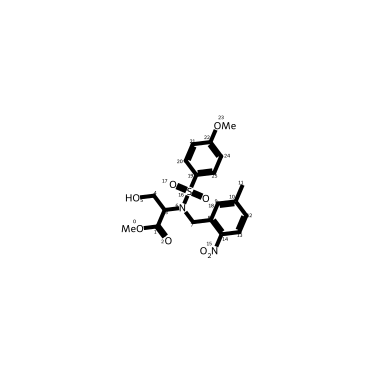 COC(=O)C(CO)N(Cc1cc(C)ccc1[N+](=O)[O-])S(=O)(=O)c1ccc(OC)cc1